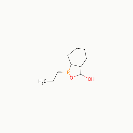 CCC[P@@]1OC(O)C2CCCCC21